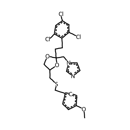 COc1ccc(CSCC2COC(CCc3c(Cl)cc(Cl)cc3Cl)(Cn3ccnc3)O2)cc1